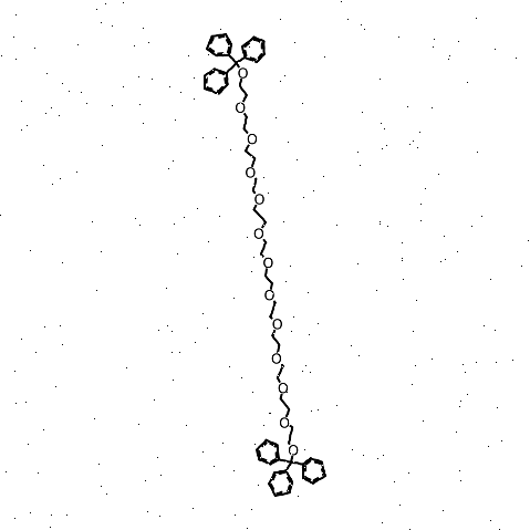 c1ccc(C(OCCOCCOCCOCCOCCOCCOCCOCCOCCOCCOCCOCCOC(c2ccccc2)(c2ccccc2)c2ccccc2)(c2ccccc2)c2ccccc2)cc1